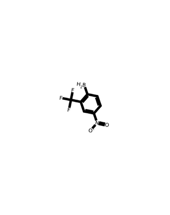 Bc1ccc([N+](=O)[O-])cc1C(F)(F)F